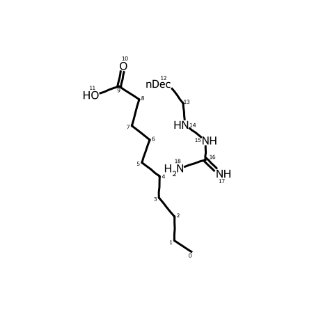 CCCCCCCCCC(=O)O.CCCCCCCCCCCNNC(=N)N